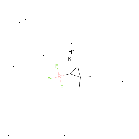 CC1(C)CC1[B-](F)(F)F.[H+].[K]